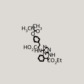 CCOC(=O)C(Nc1ncnc(N[C@@H](Cc2ccc(OC(=O)N(C)C)cc2)C(=O)O)n1)c1ccccc1